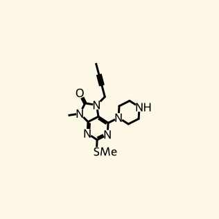 CC#CCn1c(=O)n(C)c2nc(SC)nc(N3CCNCC3)c21